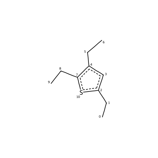 CCc1cc(CC)c(CC)s1